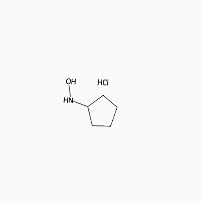 Cl.ONC1CCCC1